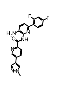 Cn1cc(-c2ccc(C(=O)Nc3nc(-c4ccc(F)cc4F)ccc3N)nc2)cn1